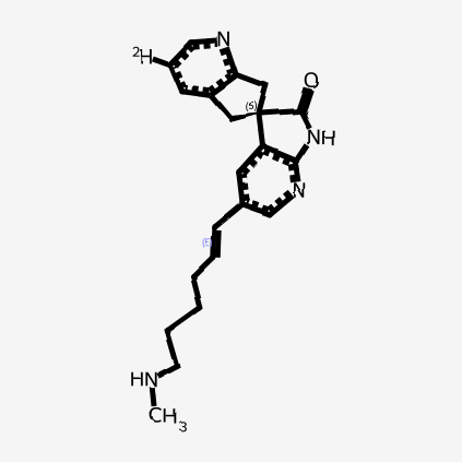 [2H]c1cnc2c(c1)C[C@@]1(C2)C(=O)Nc2ncc(/C=C/CCCCNC)cc21